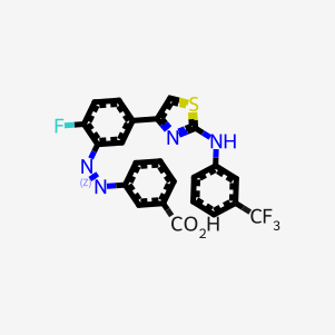 O=C(O)c1cccc(/N=N\c2cc(-c3csc(Nc4cccc(C(F)(F)F)c4)n3)ccc2F)c1